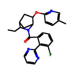 CCC1C2CC(Oc3ccc(C)cn3)C(C2)N1C(=O)c1cccc(F)c1-c1ncccn1